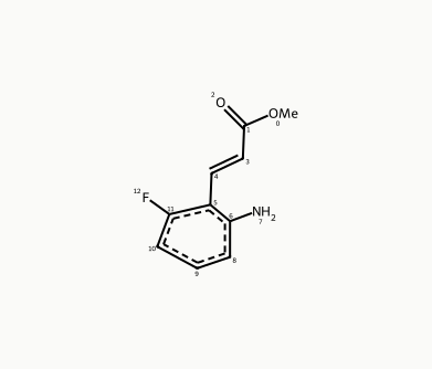 COC(=O)C=Cc1c(N)cccc1F